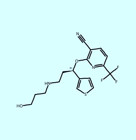 N#Cc1ccc(C(F)(F)F)nc1O[C@H](CCNCCCO)c1ccsc1